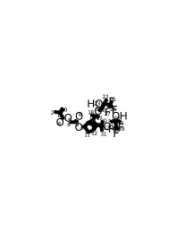 C=C(C)C(=O)OCC(=O)OC1CC2CC1C(C(C)(C)OCC(C)(O)C(F)(F)F)C2C(C)(C)OCC(C)(O)C(F)(F)F